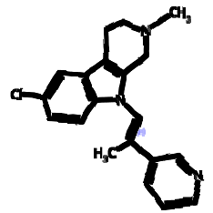 C/C(=C\n1c2c(c3cc(Cl)ccc31)CCN(C)C2)c1cccnc1